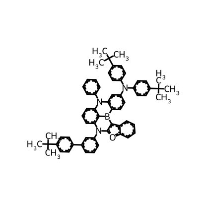 CC(C)(C)c1ccc(-c2cccc(N3c4cccc5c4B(c4ccc(N(c6ccc(C(C)(C)C)cc6)c6ccc(C(C)(C)C)cc6)cc4N5c4ccccc4)c4c3oc3ccccc43)c2)cc1